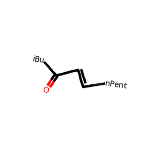 CCCCCC=CC(=O)C(C)CC